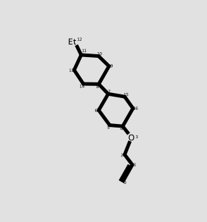 C=CCOC1CCC(C2CCC(CC)CC2)CC1